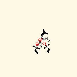 C=C[Si](C)(C)O[Si](C)(O[SiH2]C=C(C)C)O[Si](C)(C)C=C